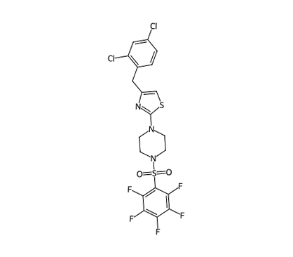 O=S(=O)(c1c(F)c(F)c(F)c(F)c1F)N1CCN(c2nc(Cc3ccc(Cl)cc3Cl)cs2)CC1